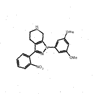 COc1cc(OC)cc(-n2nc(-c3ccccc3[N+](=O)[O-])c3c2CNCC3)c1